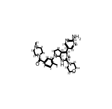 Cc1ccc(C(=O)N2CCN(C)CC2)cc1N1CCC2=C(c3cnc(N)nc3)N=C(N3CCOCC3)NC21